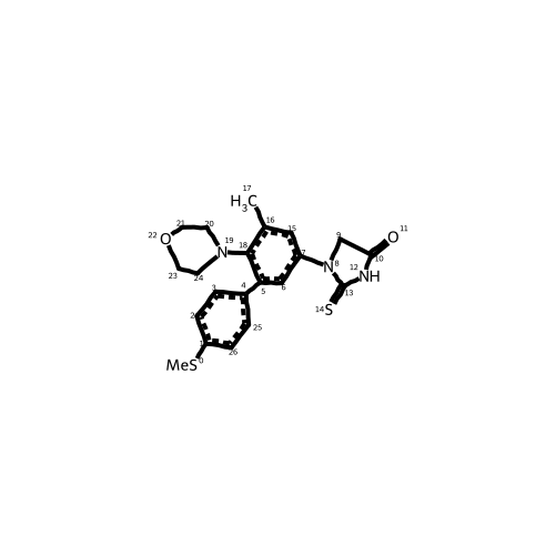 CSc1ccc(-c2cc(N3CC(=O)NC3=S)cc(C)c2N2CCOCC2)cc1